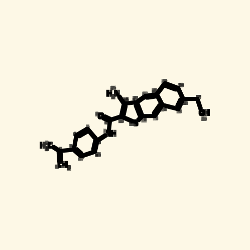 C=C(C)c1ccc(NC(=O)c2sc3cc4cc(CO)ccc4cc3c2N)cc1